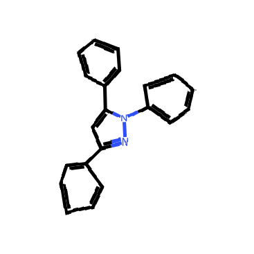 [c]1ccc(-n2nc(-c3ccccc3)cc2-c2ccccc2)cc1